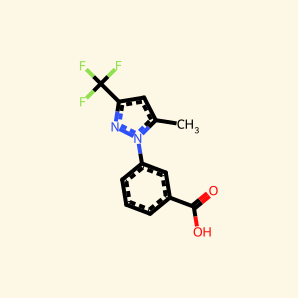 Cc1cc(C(F)(F)F)nn1-c1cccc(C(=O)O)c1